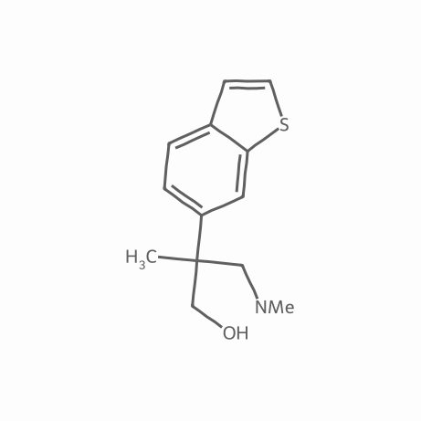 CNCC(C)(CO)c1ccc2ccsc2c1